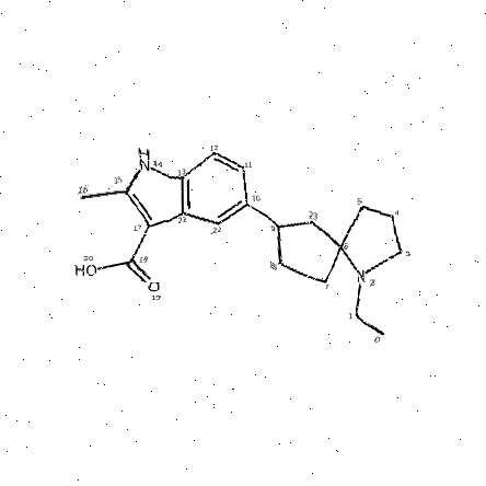 CCN1CCCC12CCC(c1ccc3[nH]c(C)c(C(=O)O)c3c1)C2